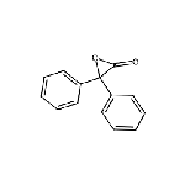 O=C1OC1(c1ccccc1)c1ccccc1